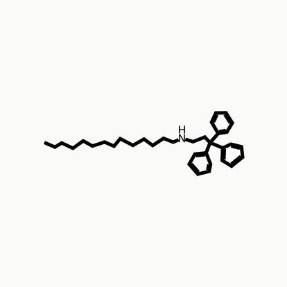 CCCCCCCCCCCCCCNCCC(c1ccccc1)(c1ccccc1)c1ccccc1